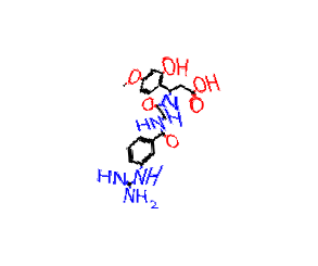 COc1ccc(C(CC(=O)O)NC(=O)CNC(=O)c2cccc(NC(=N)N)c2)c(O)c1